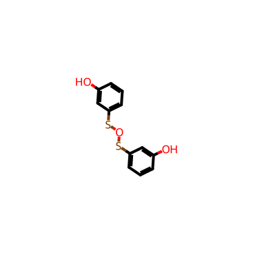 Oc1cccc(SOSc2cccc(O)c2)c1